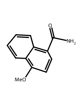 COc1ccc(C(N)=O)c2ccc[c]c12